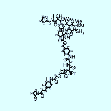 CC[C@H](C)[C@@H]([C@@H](CC(=O)N1CCC[C@H]1[C@H](OC)[C@@H](C)C(=O)NCc1nccs1)OC)N(C)C(=O)CNC(=O)C1(NC(=O)OCc2ccc(NC(=O)CNC(=O)C(NC(=O)COCC(=O)Nc3ccc(CCC(=O)N4CCC4=O)cc3)C(C)C)cc2)CCCC1